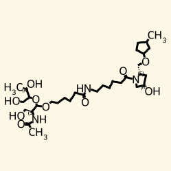 CC(=O)N[C@@H](CO)C(OCCCCCC(=O)NCCCCCC(=O)N1C[C@H](O)C[C@H]1COC1CCC(C)C1)OC(CO)[C@@H](C)O